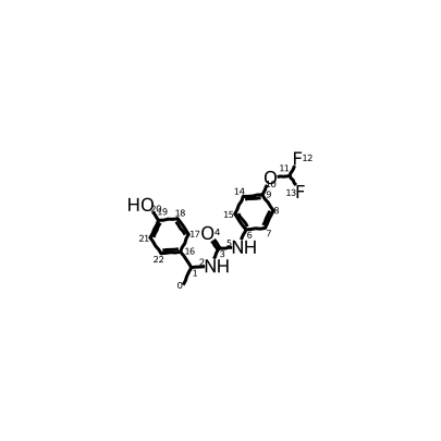 CC(NC(=O)Nc1ccc(OC(F)F)cc1)c1ccc(O)cc1